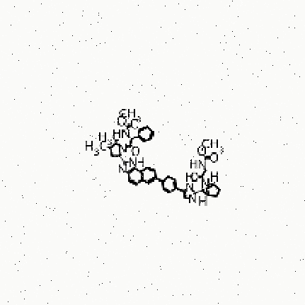 COC(=O)NCC(=O)N1[C@@H]2CC[C@@H](C2)[C@H]1c1ncc(C2=CCC(c3ccc4c(ccc5nc([C@@H]6CC(C)[C@@H](C)N6C(=O)[C@H](NC(=O)OC)c6ccccc6)[nH]c54)c3)C=C2)[nH]1